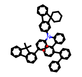 CC1(C)c2ccccc2-c2cccc(-c3ccc(N(c4ccc5c(c4)C4(CCCCC4)c4ccccc4-5)c4ccccc4-c4ccccc4-c4ccccc4-c4ccccc4)cc3)c21